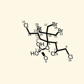 O=P(O)(O)OC(CC(Cl)CCl)(CC(Cl)CCl)C(CBr)(CBr)CBr